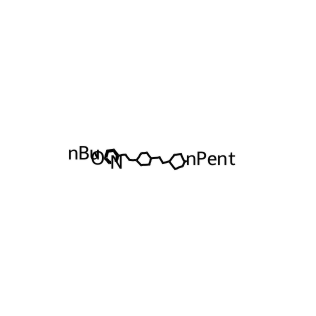 CCCCCC1CCC(CCC2CCC(CCc3ccc(OCCCC)cn3)CC2)CC1